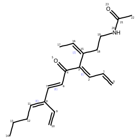 C=C/C=C(C(=O)/C=C/C(C=C)=C/CCC)\C(=C/C)CCNC(C)=O